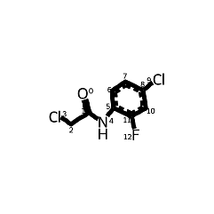 O=C(CCl)Nc1ccc(Cl)cc1F